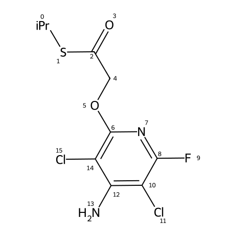 CC(C)SC(=O)COc1nc(F)c(Cl)c(N)c1Cl